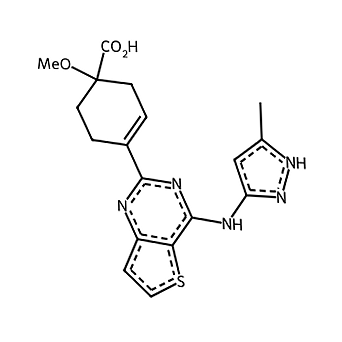 COC1(C(=O)O)CC=C(c2nc(Nc3cc(C)[nH]n3)c3sccc3n2)CC1